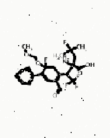 COCOC1(F)CC(C(C(F)(F)F)C(N)(CC(C)(C)F)C(=O)O)=C(C=O)C=C1c1ccccc1